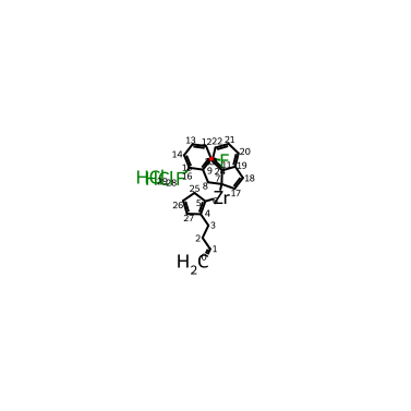 C=CCCC1=[C]([Zr][C]2(Cc3c(F)cccc3F)C=Cc3ccccc32)CC=C1.Cl.Cl